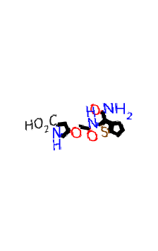 NC(=O)c1c(NC(=O)COC2CNC(C(=O)O)C2)sc2c1CCC2